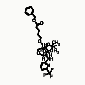 CC1(C)O[C@@H]2[C@@H](Nc3cccc(C(F)(F)F)n3)[C@H]3OC[C@](COCCCCC(=O)OCc4ccccc4)(O3)[C@@H]2O1